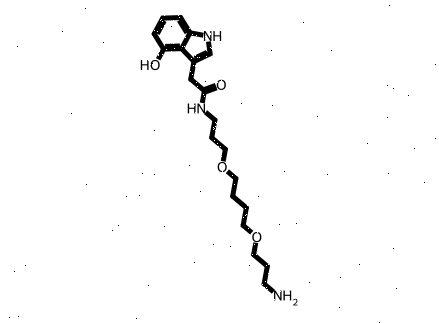 NCCCOCCCCOCCCNC(=O)Cc1c[nH]c2cccc(O)c12